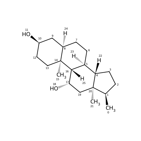 C[C@@H]1CC[C@H]2[C@@H]3CC[C@@H]4C[C@H](O)CC[C@]4(C)[C@H]3[C@@H](O)C[C@]12C